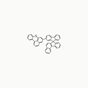 c1ccc2c(c1)Sc1cc(-c3ccc4c(c3)C3(c5ccccc5-4)c4ccccc4-c4c3ccc3ccccc43)cc3cccc-2c13